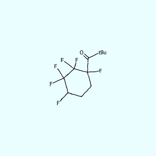 CC(C)(C)C(=O)C1(F)CC[C](F)C(F)(F)C1(F)F